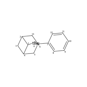 CC(C)(C)C1C2CC1CN(c1ccccc1)C2